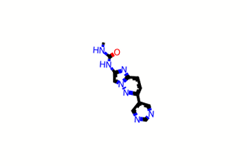 CNC(=O)Nc1cn2nc(-c3cncnc3)ccc2n1